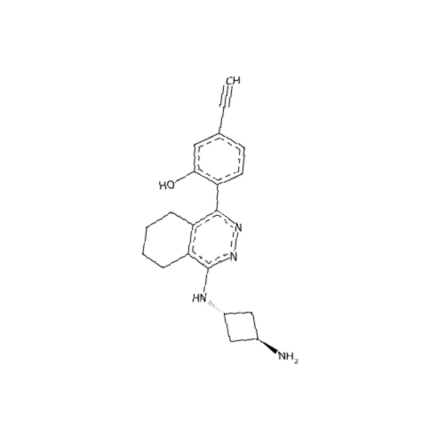 C#Cc1ccc(-c2nnc(N[C@H]3C[C@H](N)C3)c3c2CCCC3)c(O)c1